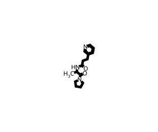 CC(NC(=O)CCc1cccnc1)C(=O)N1CCCC1